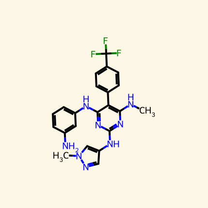 CNc1nc(Nc2cnn(C)c2)nc(Nc2cccc(N)c2)c1-c1ccc(C(F)(F)F)cc1